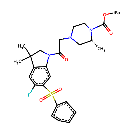 C[C@@H]1CN(CC(=O)N2CC(C)(C)c3cc(F)c(S(=O)(=O)c4ccccc4)cc32)CCN1C(=O)OC(C)(C)C